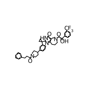 O=C(CCc1ccccc1)N1CCC(c2cccc(C3(c4nc5c(c(=O)[nH]4)CN(C(=O)[C@H](O)c4cccc(C(F)(F)F)c4)CCC5)CC3)c2)CC1